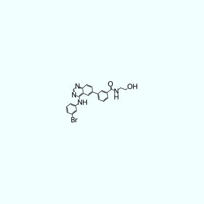 O=C(NCCO)c1cccc(-c2ccc3ncnc(Nc4cccc(Br)c4)c3c2)c1